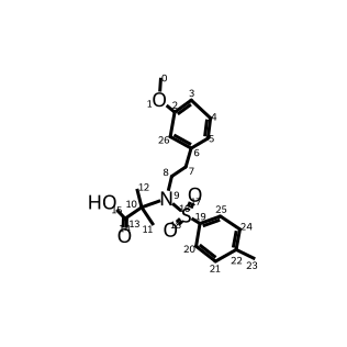 COc1cccc(CCN(C(C)(C)C(=O)O)S(=O)(=O)c2ccc(C)cc2)c1